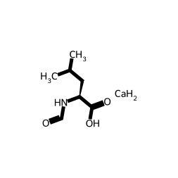 CC(C)C[C@H](NC=O)C(=O)O.[CaH2]